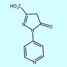 O=C(O)C1=NN(c2ccncc2)C(=O)C1